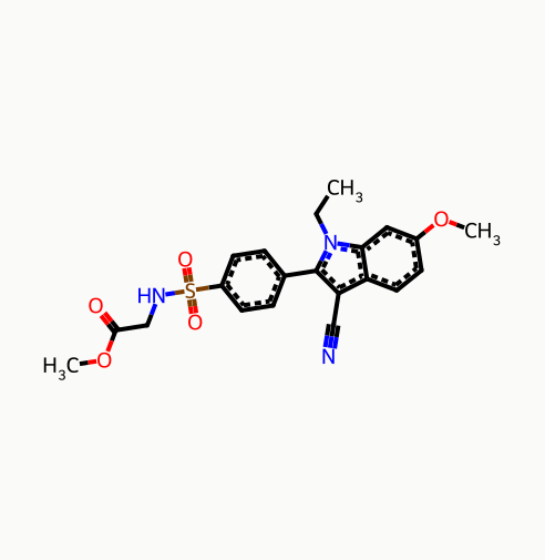 CCn1c(-c2ccc(S(=O)(=O)NCC(=O)OC)cc2)c(C#N)c2ccc(OC)cc21